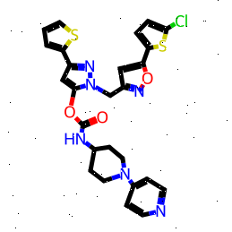 O=C(NC1CCN(c2ccncc2)CC1)Oc1cc(-c2cccs2)nn1Cc1cc(-c2ccc(Cl)s2)on1